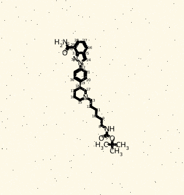 CC(C)(C)OC(=O)NCCCCCCN1CCC[C@@H](c2ccc(-n3cc4cccc(C(N)=O)c4n3)cc2)C1